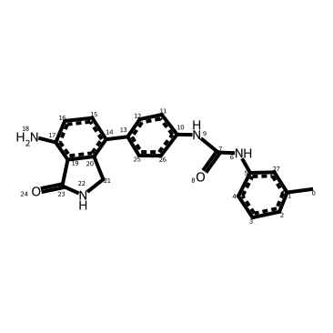 Cc1cccc(NC(=O)Nc2ccc(-c3ccc(N)c4c3CNC4=O)cc2)c1